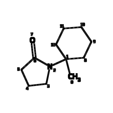 CC1(N2CCCC2=O)CCCCC1